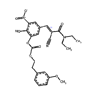 CCN(CC)C(=O)/C(C#N)=C/c1cc(OC(=O)OCCc2cccc(OC)c2)c(O)c([N+](=O)[O-])c1